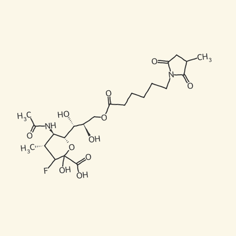 CC(=O)N[C@H]1[C@H]([C@H](O)[C@H](O)COC(=O)CCCCCN2C(=O)CC(C)C2=O)OC(O)(C(=O)O)C(F)[C@@H]1C